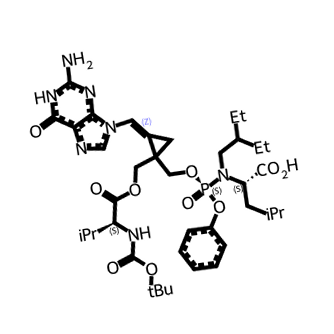 CCC(CC)CN([C@@H](CC(C)C)C(=O)O)[P@](=O)(OCC1(COC(=O)[C@@H](NC(=O)OC(C)(C)C)C(C)C)C/C1=C/n1cnc2c(=O)[nH]c(N)nc21)Oc1ccccc1